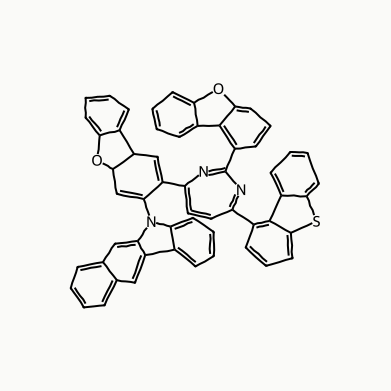 C1=CC(c2cccc3sc4ccccc4c23)=NC(c2cccc3oc4ccccc4c23)=NC=1C1=CC2c3ccccc3OC2C=C1n1c2ccccc2c2cc3ccccc3cc21